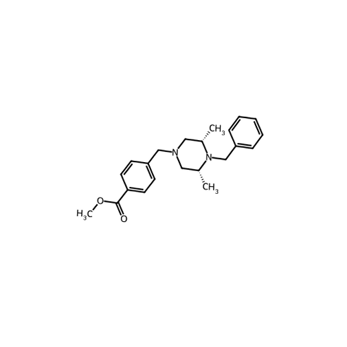 COC(=O)c1ccc(CN2C[C@@H](C)N(Cc3ccccc3)[C@@H](C)C2)cc1